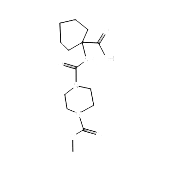 COC(=O)N1CCN(C(=O)NC2(C(=O)O)CCCCC2)CC1